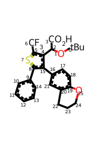 CC(C)(C)OC(C(=O)O)c1c(C(F)(F)F)sc(-c2ccccc2)c1-c1ccc2c(c1)CCCO2